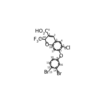 O=C(O)C1=Cc2cc(Cl)c(Oc3ccc(Br)c(Br)c3)cc2OC1C(F)(F)F